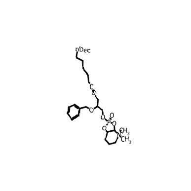 CCCCCCCCCCCCCCCCOCC(COP1(=O)OC2CCC[N+](C)(C)C2O1)OCc1ccccc1